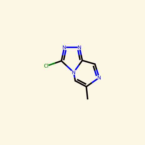 Cc1cn2c(Cl)nnc2cn1